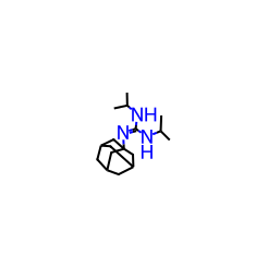 CC(C)NC(=NC12CC3CC(CC(C3)C1)C2)NC(C)C